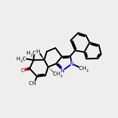 [C-]#[N+]C1=C[C@]2(C)c3nn(C)c(-c4cccc5ccccc45)c3CC[C@H]2C(C)(C)C1=O